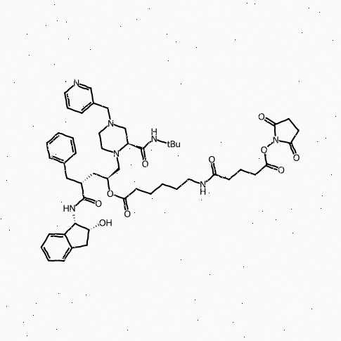 CC(C)(C)NC(=O)[C@@H]1CN(Cc2cccnc2)CCN1C[C@H](C[C@@H](Cc1ccccc1)C(=O)N[C@H]1c2ccccc2C[C@H]1O)OC(=O)CCCCCNC(=O)CCCC(=O)ON1C(=O)CCC1=O